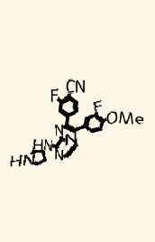 COc1ccc(-c2c(-c3ccc(C#N)c(F)c3)nc3c(NC4CCNC4)nccn23)cc1F